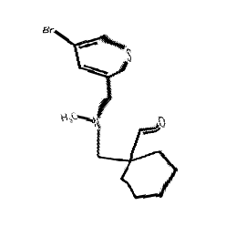 CN(Cc1cc(Br)cs1)CC1(C=O)CCCCC1